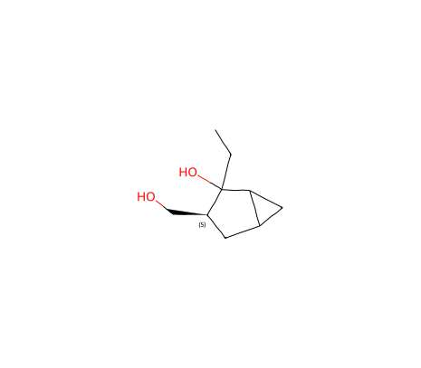 CCC1(O)C2CC2C[C@H]1CO